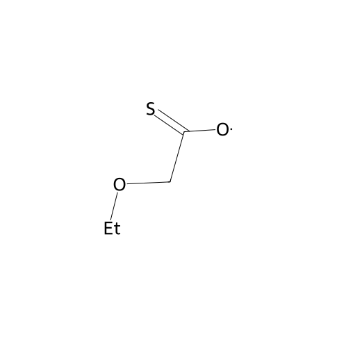 CCOCC([O])=S